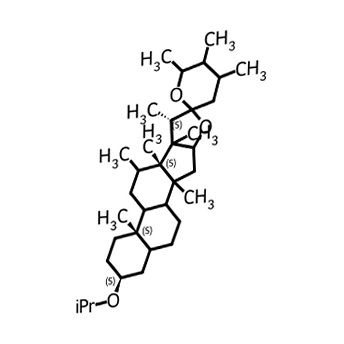 CC(C)O[C@H]1CC[C@@]2(C)C(CCC3C2CC(C)[C@@]2(C)C3(C)CC3OC4(CC(C)C(C)C(C)O4)[C@@H](C)C32C)C1